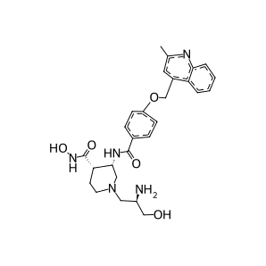 Cc1cc(COc2ccc(C(=O)N[C@@H]3CN(C[C@@H](N)CO)CC[C@@H]3C(=O)NO)cc2)c2ccccc2n1